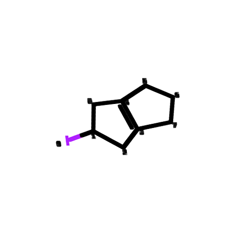 IC1CC2=C(CCC2)C1